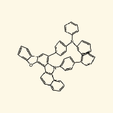 c1ccc(-c2ccc(-n3c4c(-c5ccc(N(c6ccccc6)c6ccccc6)cc5)cc5c6ccccc6oc5c4c4ccc5ccccc5c43)cc2)cc1